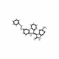 Nc1ccc2c(c1)/C(=C(/Nc1ccc(OCc3ccccc3)cc1)c1ccccc1)C(=O)N2